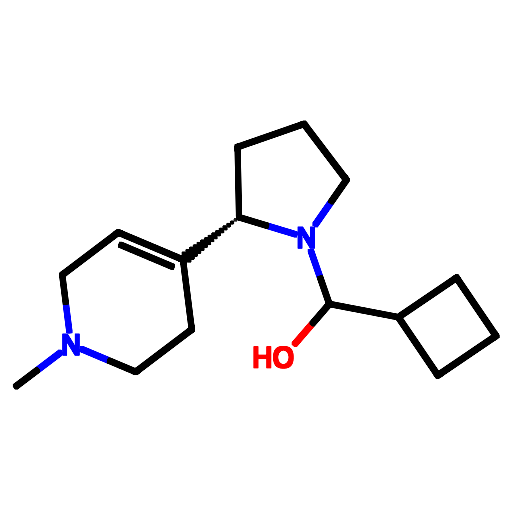 CN1CC=C([C@@H]2CCCN2C(O)C2CCC2)CC1